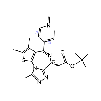 C=N/C=C\C(=C/C)C1=N[C@@H](CC(=O)OC(C)(C)C)c2nnc(C)n2-c2sc(C)c(C)c21